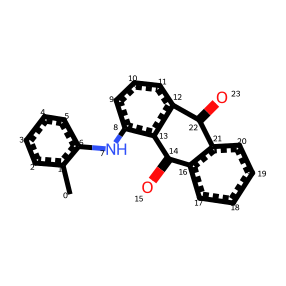 Cc1ccccc1Nc1cccc2c1C(=O)c1ccccc1C2=O